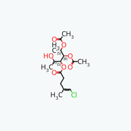 CC(=O)O[C@@H]([C@@H](OC(=O)CCC(C)=CCl)[C@@H](C)O)[C@H](C)OC(C)=O